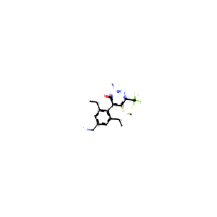 CCc1cc(CN)cc(CC)c1-c1c(SC)c(C(F)(F)F)nn(C)c1=O